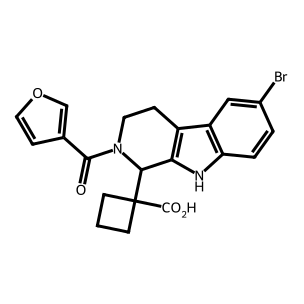 O=C(c1ccoc1)N1CCc2c([nH]c3ccc(Br)cc23)C1C1(C(=O)O)CCC1